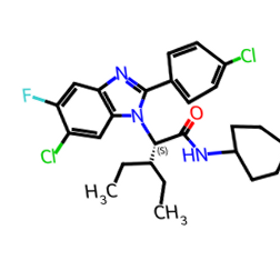 CCC(CC)[C@@H](C(=O)NC1CCCCC1)n1c(-c2ccc(Cl)cc2)nc2cc(F)c(Cl)cc21